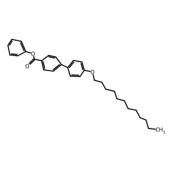 CCCCCCCCCCCCOc1ccc(-c2ccc(C(=O)Oc3ccccc3)cc2)cc1